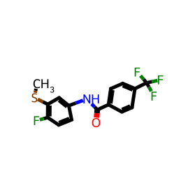 CSc1cc(NC(=O)c2ccc(C(F)(F)F)cc2)ccc1F